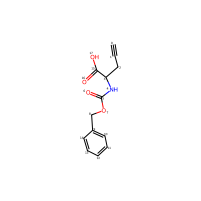 C#CCC(NC(=O)OCc1ccccc1)C(=O)O